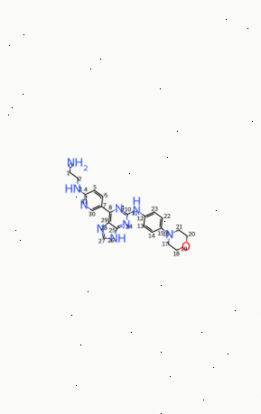 NCCNc1ccc(-c2nc(Nc3ccc(N4CCOCC4)cc3)nc3[nH]cnc23)cn1